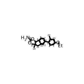 CCOc1ccc(-c2ccc3c(c2)CC(C)(C)C3OC(N)=O)c(C)c1